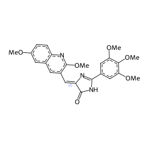 COc1ccc2nc(OC)c(/C=C3\N=C(c4cc(OC)c(OC)c(OC)c4)NC3=O)cc2c1